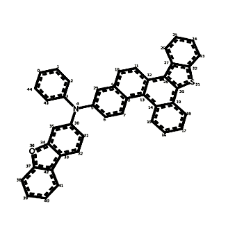 c1ccc(N(c2ccc3c(ccc4c3c3ccccc3c3sc5ccccc5c43)c2)c2ccc3c(c2)oc2ccccc23)cc1